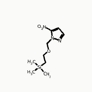 C[Si](C)(C)CCOCn1nccc1[N+](=O)[O-]